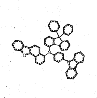 c1ccc(C2(c3ccccc3)c3ccccc3-c3c(N(c4ccc(-n5c6ccccc6c6ccccc65)cc4)c4cccc5c4ccc4c6ccccc6oc54)cccc32)cc1